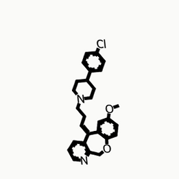 COc1ccc2c(c1)C(=CCCN1CCC(c3ccc(Cl)cc3)CC1)c1cccnc1CO2